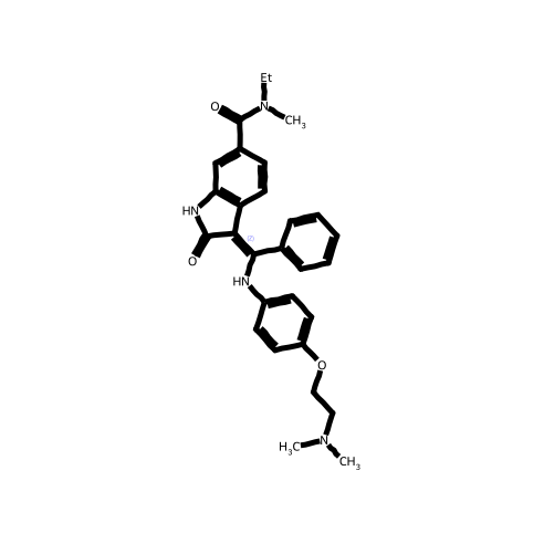 CCN(C)C(=O)c1ccc2c(c1)NC(=O)/C2=C(\Nc1ccc(OCCN(C)C)cc1)c1ccccc1